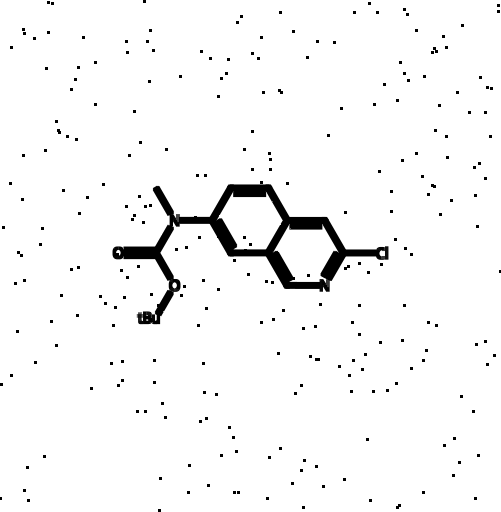 CN(C(=O)OC(C)(C)C)c1ccc2cc(Cl)ncc2c1